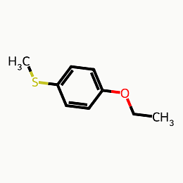 CCOc1ccc(SC)cc1